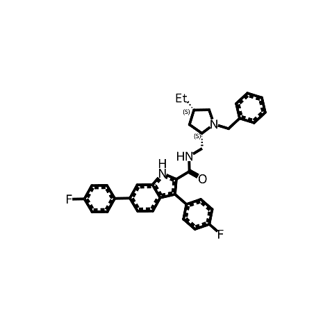 CC[C@H]1C[C@@H](CNC(=O)c2[nH]c3cc(-c4ccc(F)cc4)ccc3c2-c2ccc(F)cc2)N(Cc2ccccc2)C1